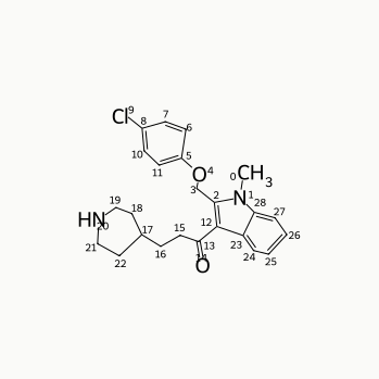 Cn1c(COc2ccc(Cl)cc2)c(C(=O)CCC2CCNCC2)c2ccccc21